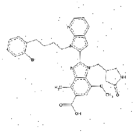 COc1cc(C(=O)O)c(C)c2nc(-c3cc4cccnc4n3CCCCc3ccccc3Br)n(CC3CNC(=O)C3)c12